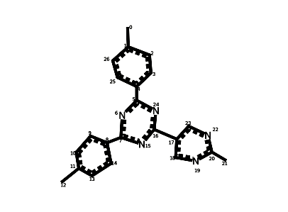 Cc1ccc(-c2nc(-c3ccc(C)cc3)nc(-c3cnc(C)nc3)n2)cc1